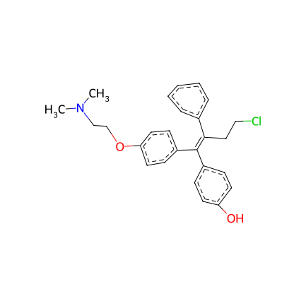 CN(C)CCOc1ccc(C(=C(CCCl)c2ccccc2)c2ccc(O)cc2)cc1